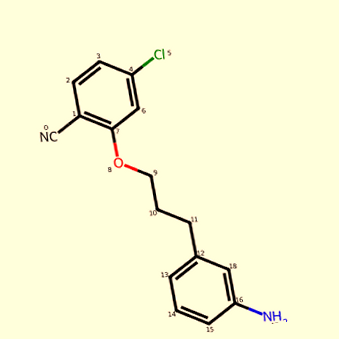 N#Cc1ccc(Cl)cc1OCCCc1cccc(N)c1